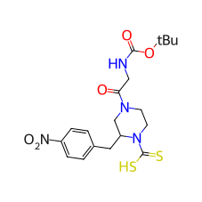 CC(C)(C)OC(=O)NCC(=O)N1CCN(C(=S)S)C(Cc2ccc([N+](=O)[O-])cc2)C1